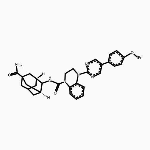 CC(C)Oc1ccc(-c2cnc(N3CCN(C(=O)NC4[C@@H]5CC6C[C@H]4CC(C(N)=O)(C6)C5)c4ccccc43)nc2)cc1